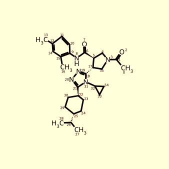 CC(=O)N1C[C@H](C(=O)Nc2ccc(C)cc2C)[C@@H](c2nnc([C@H]3CC[C@H](C(C)C)CC3)n2C2CC2)C1